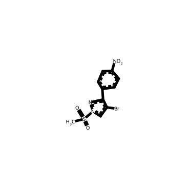 CS(=O)(=O)n1cc(Br)c(-c2ccc([N+](=O)[O-])cc2)n1